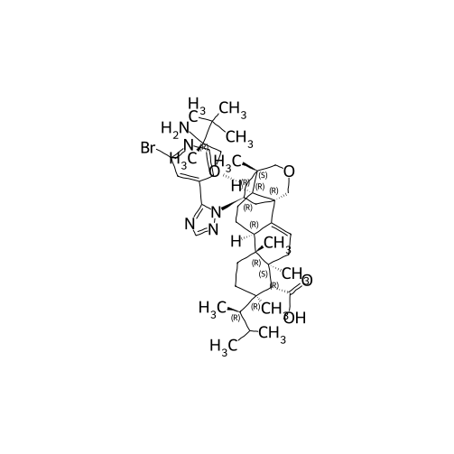 CC(C)[C@@H](C)[C@@]1(C)CC[C@]2(C)[C@H]3CC[C@@H]4[C@@]5(COC[C@@]4(C)[C@@H](OC[C@](C)(N)C(C)(C)C)[C@H](n4ncnc4-c4ccnc(Br)c4)C5)C3=CC[C@@]2(C)[C@@H]1C(=O)O